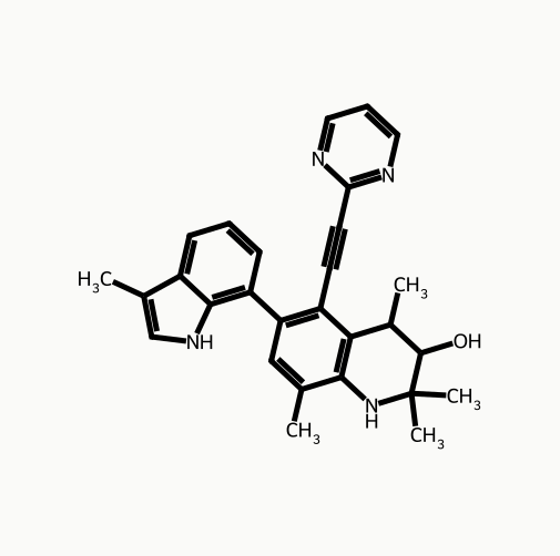 Cc1cc(-c2cccc3c(C)c[nH]c23)c(C#Cc2ncccn2)c2c1NC(C)(C)C(O)C2C